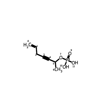 C=CCC#CC(C)OP(=O)(O)O